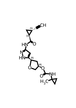 C#C[C@H]1C[C@@H]1C(=O)Nc1cc([C@H]2C[C@@H](OC(=O)NC3(C)CC3)CO2)[nH]n1